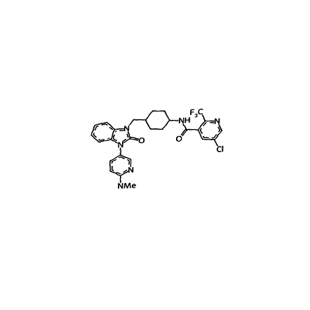 CNc1ccc(-n2c(=O)n(CC3CCC(NC(=O)c4cc(Cl)cnc4C(F)(F)F)CC3)c3ccccc32)cn1